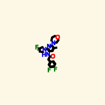 Cc1cc(NC(=O)Cc2ccc(F)c(F)c2)c(N2CC[C@@H](F)C2)nc1N1CCCOCC1